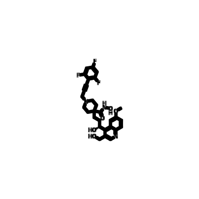 COc1ccc2ncc(CO)c([C@H](O)CCC3(C(=O)NO)CCN(CC#Cc4c(F)cc(F)cc4F)CC3)c2c1